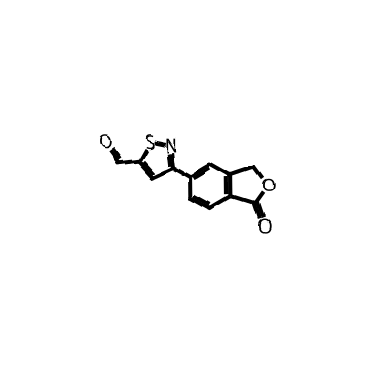 O=Cc1cc(-c2ccc3c(c2)COC3=O)ns1